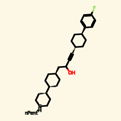 CCCCC[Si@H]1CC[C@H]([C@H]2CC[C@H](CC(O)C#C[C@H]3CC[C@H](c4ccc(F)cc4)CC3)CC2)CC1